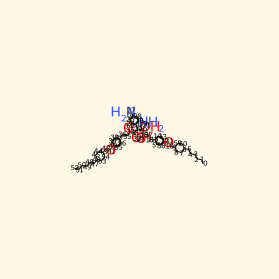 CCCCCCC1CCC(COc2ccc(/C=C/C(=O)C(O)C(c3ccc(N)cc3N)C(O)C(=O)/C=C/c3ccc(OCC4CCC(CCCCCC)CC4)cc3)cc2)CC1